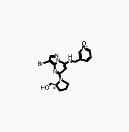 [O-][n+]1cccc(CNc2cc(N3CCC[C@H]3CO)nc3c(Br)cnn23)c1